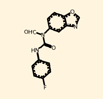 O=CN(C(=O)Nc1ccc(F)cc1)c1ccc2ocnc2c1